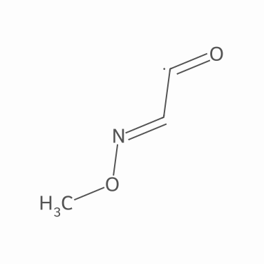 CO/N=C/[C]=O